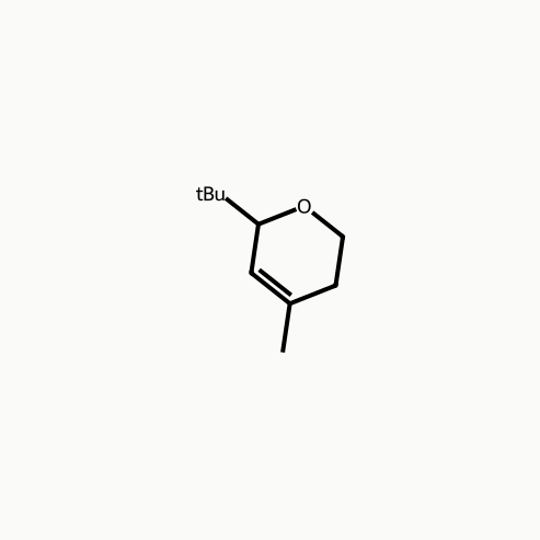 CC1=CC(C(C)(C)C)OCC1